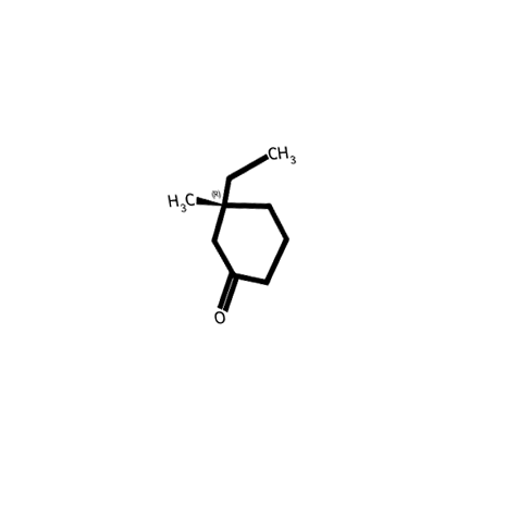 CC[C@]1(C)CCCC(=O)C1